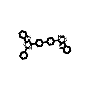 c1ccc(-c2nc(-c3ccc(-c4ccc(-c5ncnc6c5sc5ccccc56)cc4)cc3)c3sc4ccccc4c3n2)cc1